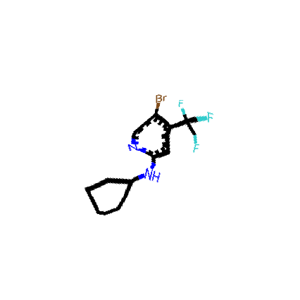 FC(F)(F)c1cc(NC2CCCC2)ncc1Br